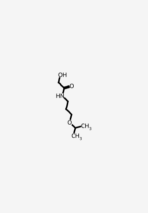 CC(C)OCCCNC(=O)CO